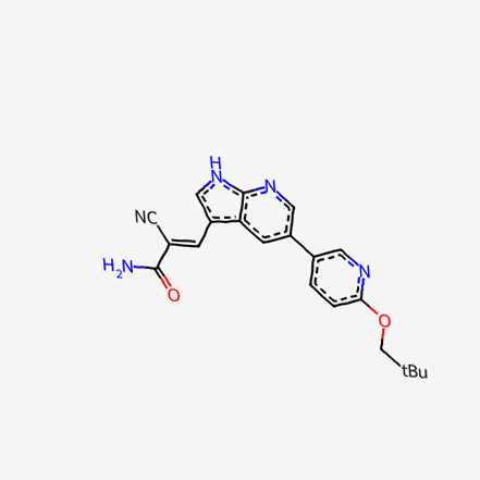 CC(C)(C)COc1ccc(-c2cnc3[nH]cc(/C=C(\C#N)C(N)=O)c3c2)cn1